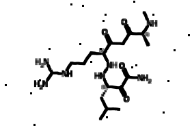 CN[C@@H](C)C(=O)CC(=O)[C@H](CCCNC(N)N)NN[C@@H](CC(C)C)C(=O)C(N)=O